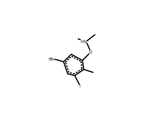 Cc1c(I)cc(C(C)(C)C)cc1O[SiH](C)C